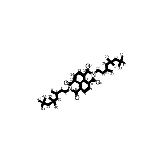 CC(CCN1C(=O)c2ccc3c4c(ccc(c24)C1=O)C(=O)N(CCC(C)CC(C)(C)CC(C)(C)C)C3=O)CC(C)(C)CC(C)(C)C